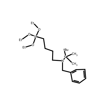 CCO[Si](CCCCN(Cc1ccccc1)[Si](C)(C)C(C)(C)C)(OCC)OCC